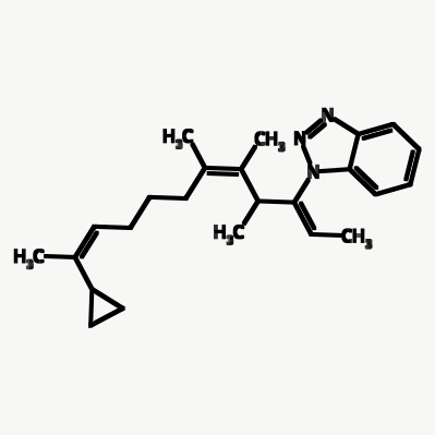 C/C=C(/C(C)/C(C)=C(/C)CCCC=C(C)C1CC1)n1nnc2ccccc21